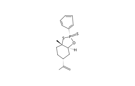 C=C(C)[C@@H]1CC[C@]2(C)S[P@](=S)(c3ccccc3)O[C@H]2C1